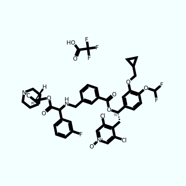 O=C(O)C(F)(F)F.O=C(O[C@@H](Cc1c(Cl)c[n+]([O-])cc1Cl)c1ccc(OC(F)F)c(OCC2CC2)c1)c1cccc(CNC(C(=O)O[C@H]2CN3CCC2CC3)c2cccc(F)c2)c1